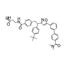 CN(C)C(=O)c1ccc(-c2cccc(-c3cc(C(Cc4ccc(C(=O)NCC[SH](=O)=O)cc4)c4ccc(C(C)(C)C)cc4)no3)c2)cc1